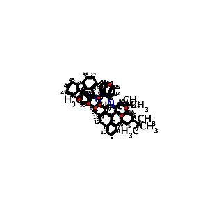 CC(C)(C)c1cc(-c2cccc3cccc(-c4ccccc4N(c4ccccc4-c4cccc5c4-c4ccccc4C5(C)c4ccccc4)c4cccc5c6ccccc6n(-c6ccccc6)c45)c23)cc(C(C)(C)C)c1